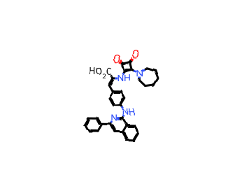 O=C(O)C(=Cc1ccc(Nc2nc(-c3ccccc3)cc3ccccc23)cc1)Nc1c(N2CCCCCC2)c(=O)c1=O